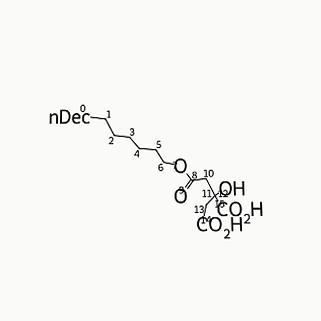 CCCCCCCCCCCCCCCCOC(=O)CC(O)(CC(=O)O)C(=O)O